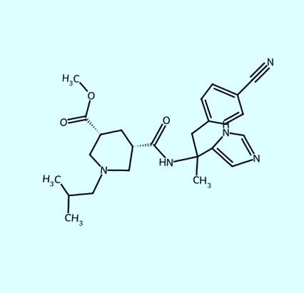 COC(=O)[C@@H]1C[C@H](C(=O)NC(C)(Cc2ccc(C#N)cc2)c2cnc[nH]2)CN(CC(C)C)C1